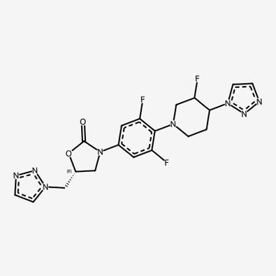 O=C1O[C@@H](Cn2ccnn2)CN1c1cc(F)c(N2CCC(n3ccnn3)C(F)C2)c(F)c1